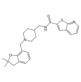 CC1(C)Cc2cccc(CN3CCC(CNC(=O)c4cc5cccnc5s4)CC3)c2O1